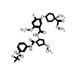 COc1cc(F)c(O[C@H]2CC[C@@](C)(C(=O)OC)CC2)cc1C(=O)N[C@@H]1C[C@@H](OC)C[C@@H]1C(=O)Nc1cccc(S(=O)(=O)C(F)(F)I)c1